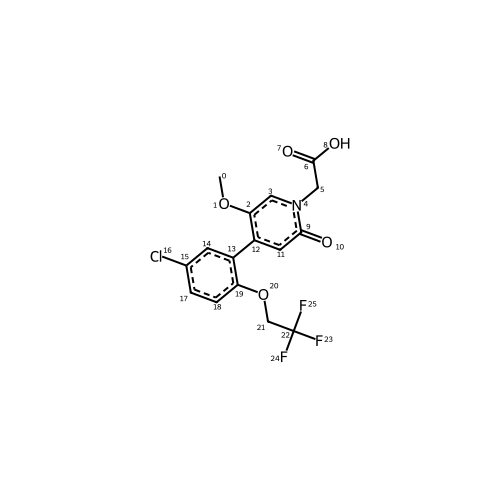 COc1cn(CC(=O)O)c(=O)cc1-c1cc(Cl)ccc1OCC(F)(F)F